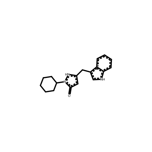 O=c1cc(Cc2c[nH]c3ccccc23)[nH]n1C1CCCCC1